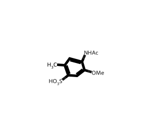 COc1cc(S(=O)(=O)O)c(C)cc1NC(C)=O